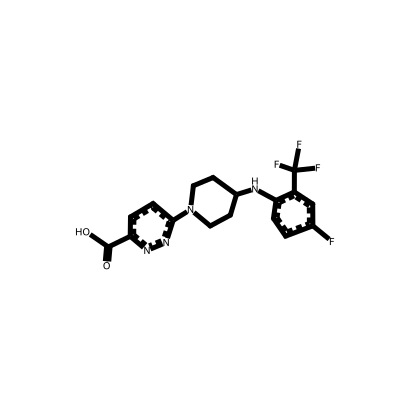 O=C(O)c1ccc(N2CCC(Nc3ccc(F)cc3C(F)(F)F)CC2)nn1